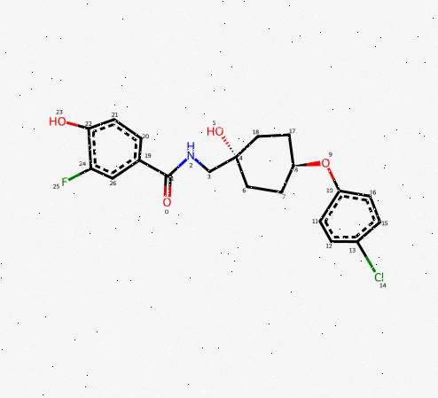 O=C(NC[C@]1(O)CC[C@H](Oc2ccc(Cl)cc2)CC1)c1ccc(O)c(F)c1